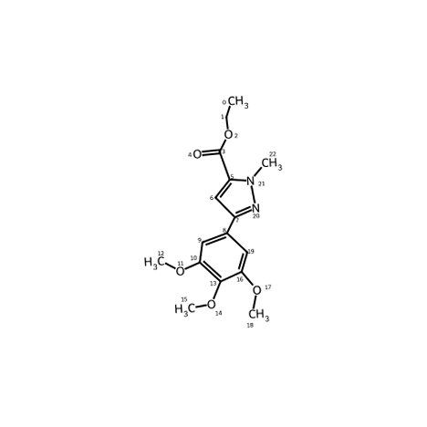 CCOC(=O)c1cc(-c2cc(OC)c(OC)c(OC)c2)nn1C